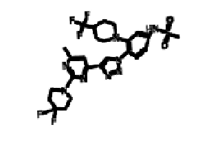 Cc1cc(-c2cn(-c3ccc(NS(C)(=O)=O)cc3N3CCC(C(F)(F)F)CC3)nn2)nc(N2CCC(F)(F)CC2)n1